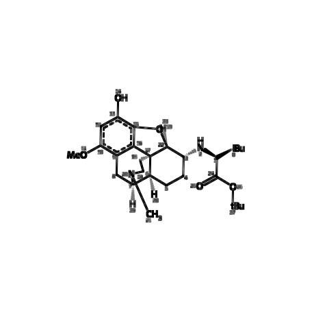 CC[C@H](C)[C@H](N[C@@H]1CC[C@H]2[C@H]3Cc4c(OC)cc(O)c5c4[C@@]2(CCN3C)[C@H]1O5)C(=O)OC(C)(C)C